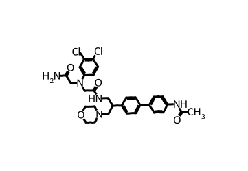 CC(=O)Nc1ccc(-c2ccc(C(CNC(=O)CN(CC(N)=O)c3ccc(Cl)c(Cl)c3)CN3CCOCC3)cc2)cc1